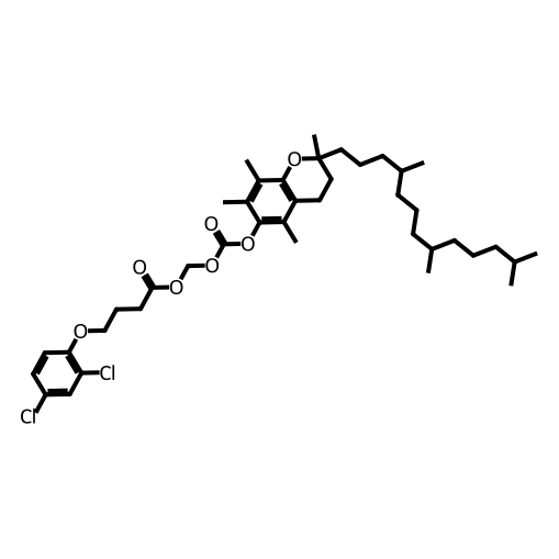 Cc1c(C)c2c(c(C)c1OC(=O)OCOC(=O)CCCOc1ccc(Cl)cc1Cl)CCC(C)(CCCC(C)CCCC(C)CCCC(C)C)O2